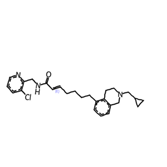 O=C(/C=C/CCCCc1cccc2c1CCN(CC1CC1)C2)NCc1ncccc1Cl